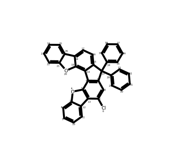 Clc1cc2c(c3oc4ccccc4c13)-c1c(ccc3c1oc1ccccc13)C2(c1ccccc1)c1ccccc1